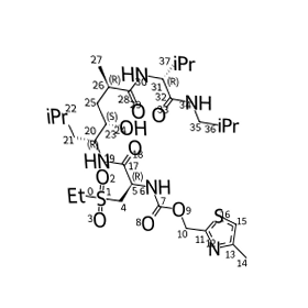 CCS(=O)(=O)C[C@H](NC(=O)OCc1nc(C)cs1)C(=O)N[C@H](CC(C)C)[C@@H](O)C[C@@H](C)C(=O)N[C@@H](C(=O)NCC(C)C)C(C)C